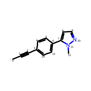 [CH2]C#Cc1ccc(-c2ccnn2C)cc1